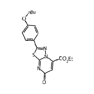 CCCCOc1ccc(-c2nn3c(C(=O)OCC)cc(=O)nc3s2)cc1